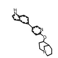 c1cc2cc(-c3ccc(OC4CCN5CCCC4C5)nc3)ccc2[nH]1